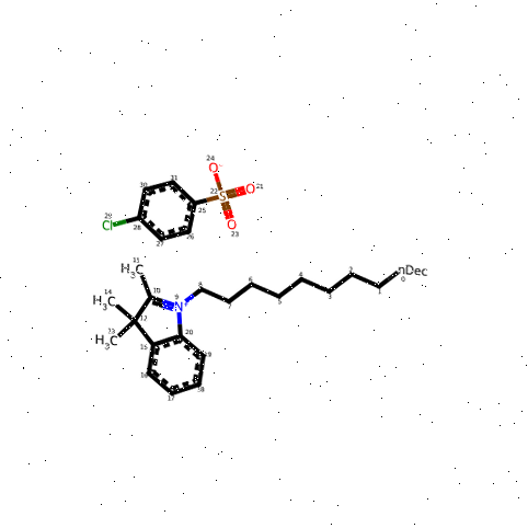 CCCCCCCCCCCCCCCCCC[N+]1=C(C)C(C)(C)c2ccccc21.O=S(=O)([O-])c1ccc(Cl)cc1